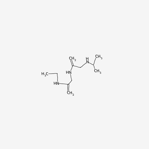 C=C(CNC(=C)CNC(C)C)NCC